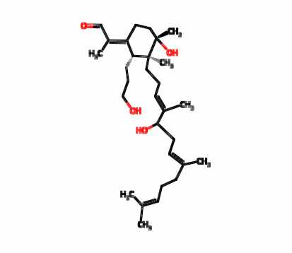 CC(C)=CCC/C(C)=C/CC(O)/C(C)=C/CC[C@@]1(C)[C@H](CCCO)/C(=C(\C)C=O)CC[C@]1(C)O